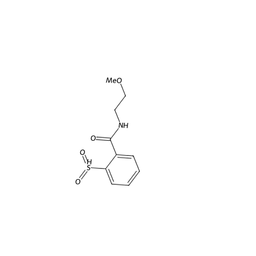 COCCNC(=O)c1ccccc1[SH](=O)=O